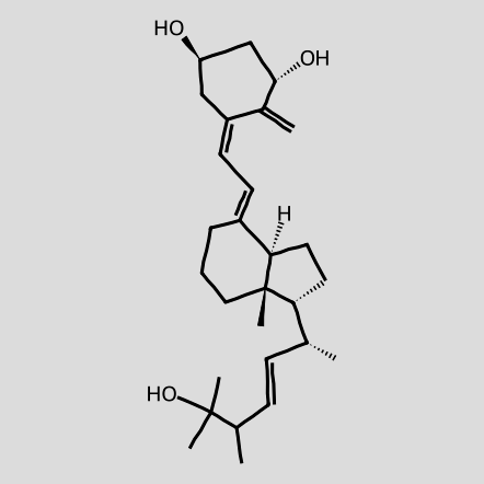 C=C1C(=CC=C2CCC[C@]3(C)[C@@H]2CC[C@@H]3[C@H](C)/C=C/C(C)C(C)(C)O)C[C@@H](O)C[C@@H]1O